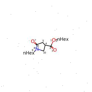 CCCCCCOC(=O)C1CC(=O)N(CCCCCC)C1